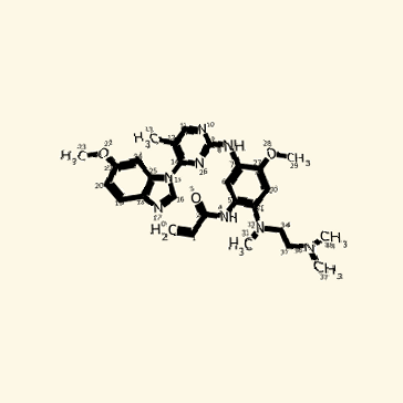 C=CC(=O)Nc1cc(Nc2ncc(C)c(-n3cnc4ccc(OC)cc43)n2)c(OC)cc1N(C)CCN(C)C